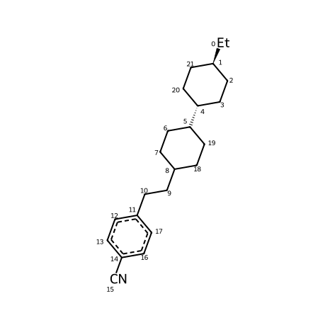 CC[C@H]1CC[C@H](C2CCC(CCc3ccc(C#N)cc3)CC2)CC1